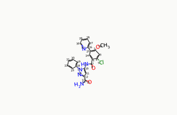 COc1cc(Cl)c(C(=O)Nc2cc(C(N)=O)nn2-c2ccccc2)cc1-c1ccccn1